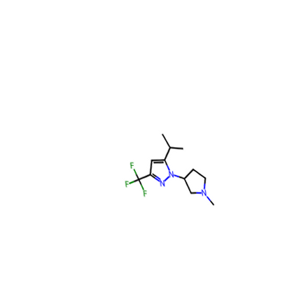 CC(C)c1cc(C(F)(F)F)nn1C1CCN(C)C1